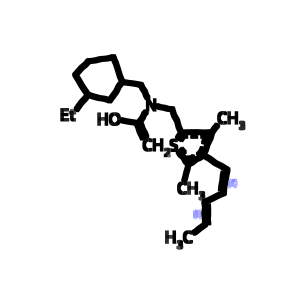 C=C(O)N(Cc1sc(C)c(/C=C\C=C\C)c1C)CC1CCCC(CC)C1